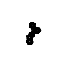 C1=CC2Sc3cc4c(cc3C2C=C1)c1cccc2c3ccccc3n4c21